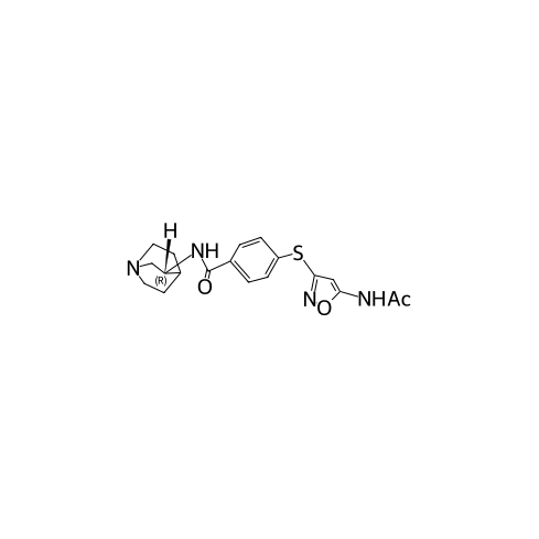 CC(=O)Nc1cc(Sc2ccc(C(=O)N[C@H]3CN4CCC3CC4)cc2)no1